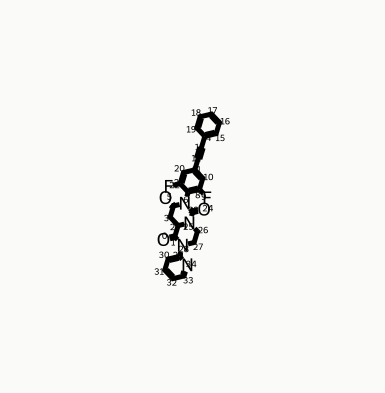 O=C1C2CC(=O)N(c3c(F)cc(C#Cc4ccccc4)cc3F)C(=O)N2CCN1c1ccccn1